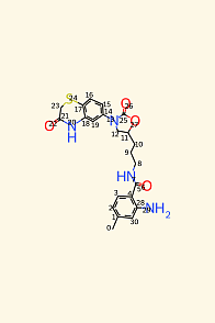 Cc1ccc(C(=O)NCCCC2CN(c3ccc4c(c3)NC(=O)CS4)C(=O)O2)c(N)c1